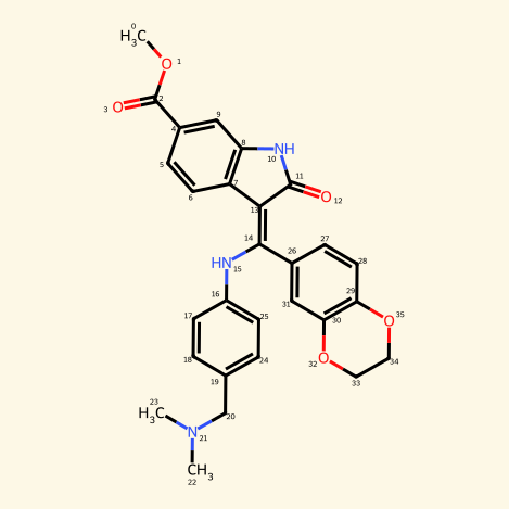 COC(=O)c1ccc2c(c1)NC(=O)C2=C(Nc1ccc(CN(C)C)cc1)c1ccc2c(c1)OCCO2